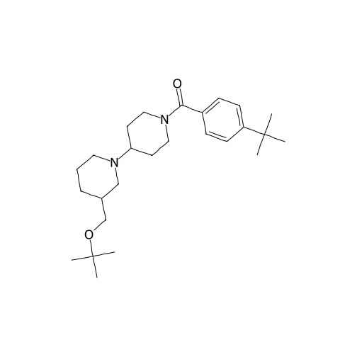 CC(C)(C)OCC1CCCN(C2CCN(C(=O)c3ccc(C(C)(C)C)cc3)CC2)C1